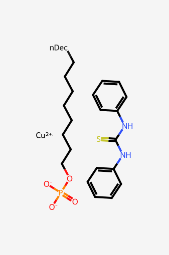 CCCCCCCCCCCCCCCCCCOP(=O)([O-])[O-].S=C(Nc1ccccc1)Nc1ccccc1.[Cu+2]